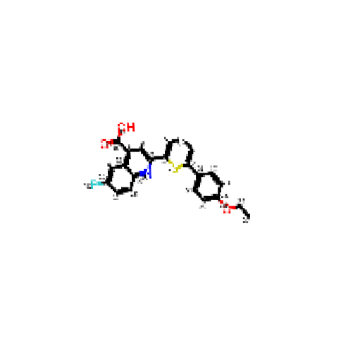 C/C=C(\S/C(=C\C)c1cc(C(=O)O)c2cc(F)ccc2n1)c1ccc(OCC)cc1